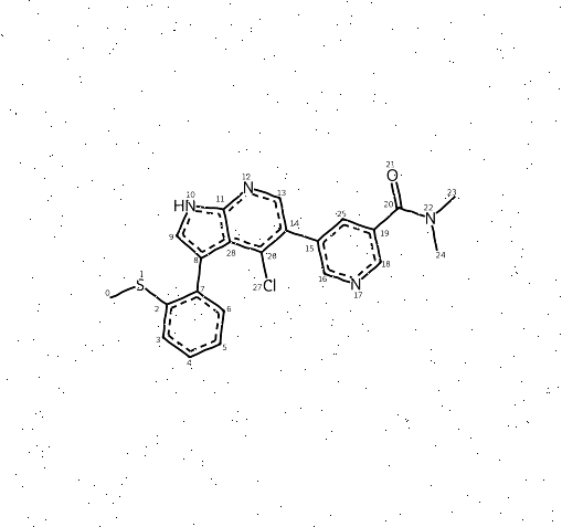 CSc1ccccc1-c1c[nH]c2ncc(-c3cncc(C(=O)N(C)C)c3)c(Cl)c12